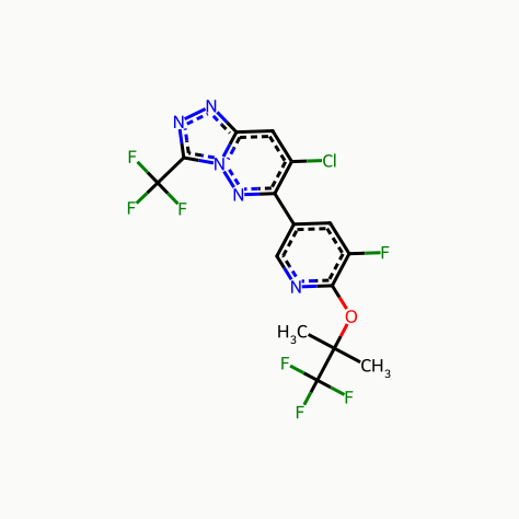 CC(C)(Oc1ncc(-c2nn3c(C(F)(F)F)nnc3cc2Cl)cc1F)C(F)(F)F